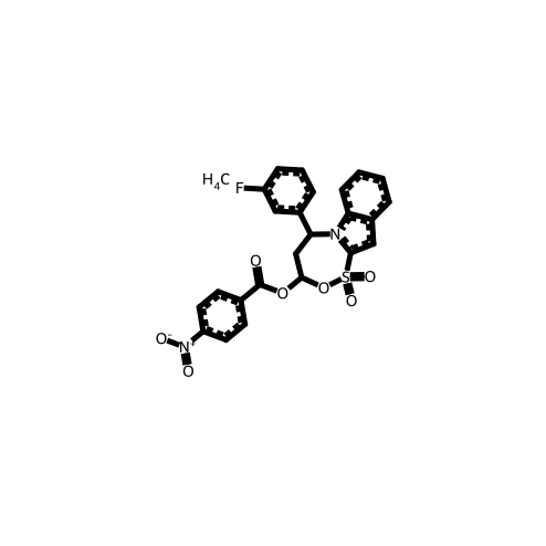 C.O=C(OC1CC(c2cccc(F)c2)n2c(cc3ccccc32)S(=O)(=O)O1)c1ccc([N+](=O)[O-])cc1